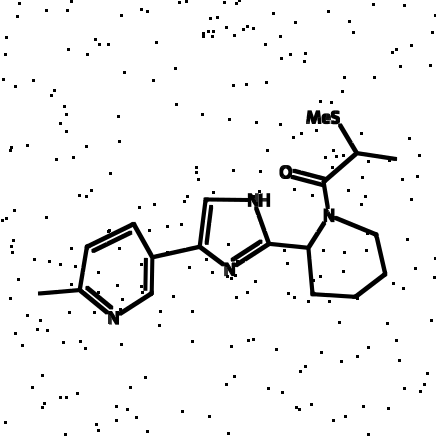 CSC(C)C(=O)N1CCCCC1c1nc(-c2ccc(C)nc2)c[nH]1